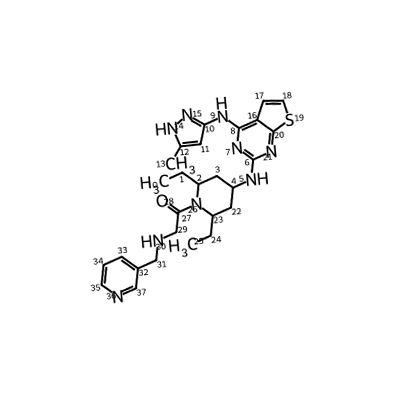 CCC1CC(Nc2nc(Nc3cc(C)[nH]n3)c3ccsc3n2)CC(CC)N1C(=O)CNCc1cccnc1